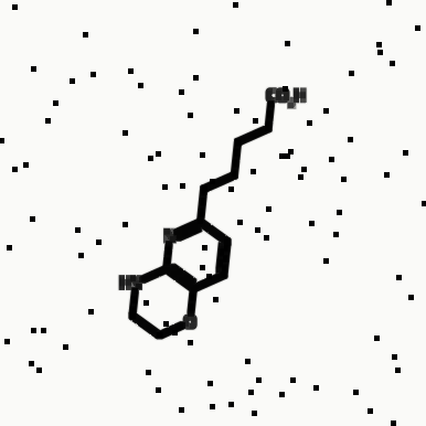 O=C(O)CCCCc1ccc2c(n1)NCCO2